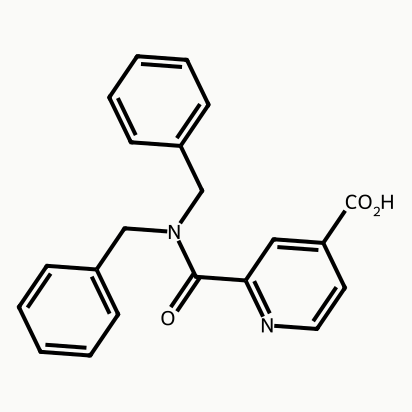 O=C(O)c1ccnc(C(=O)N(Cc2ccccc2)Cc2ccccc2)c1